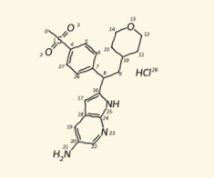 CS(=O)(=O)c1ccc(C(CC2CCOCC2)c2cc3cc(N)cnc3[nH]2)cc1.Cl